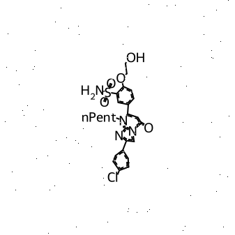 CCCCCn1c(-c2ccc(OCCO)c(S(N)(=O)=O)c2)cc(=O)n2cc(-c3ccc(Cl)cc3)nc12